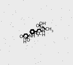 CC1CN(C(=O)O)C(CC(=O)c2cccc(NC3CCC(=O)NC3=O)c2)C(C)N1